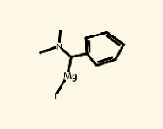 CN(C)[CH]([Mg][I])c1ccccc1